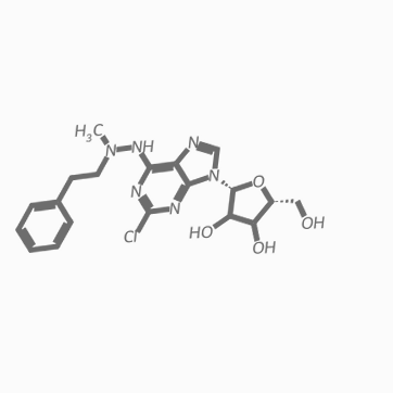 CN(CCc1ccccc1)Nc1nc(Cl)nc2c1ncn2[C@@H]1O[C@H](CO)C(O)C1O